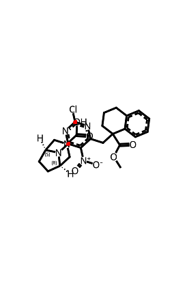 COC(=O)C1(Cc2nc(Cl)nc(N3[C@@H]4CC[C@H]3CN(C(=O)O)C4)c2[N+](=O)[O-])CCCc2ccccc21